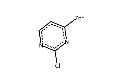 Clc1ncc[c]([Zn+])n1